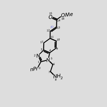 CCCc1nc2c(n1CCN)C=CC(/C=C/C(=O)OC)C2